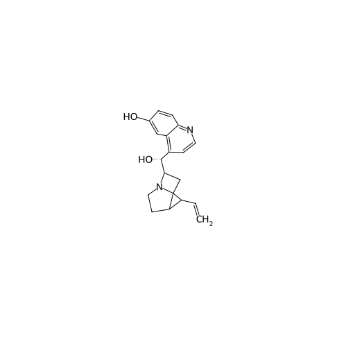 C=CC1C2CCN3C([C@H](O)c4ccnc5ccc(O)cc45)CC123